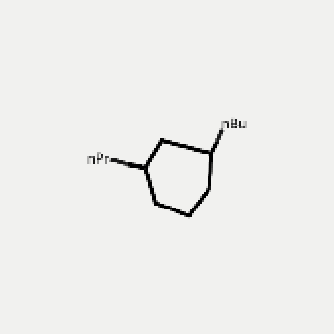 CC[CH]CC1CCCC(CCC)C1